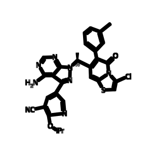 Cc1cccc(-c2c([C@H](C)n3nc(-c4cnc(OC(C)C)c(C#N)c4)c4c(N)ncnc43)cc3scc(Cl)n3c2=O)c1